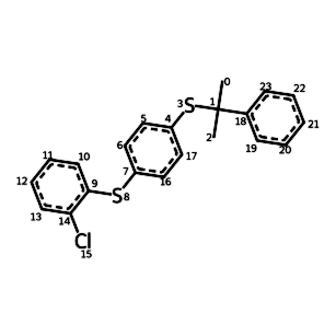 CC(C)(Sc1ccc(Sc2ccccc2Cl)cc1)c1ccccc1